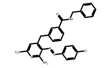 Nc1cc(Cc2cccc(C(=O)NCc3ccccc3)c2)c(N=Nc2ccc(Cl)cc2)c(N)n1